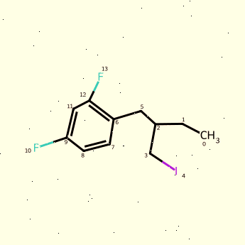 CCC(CI)Cc1ccc(F)cc1F